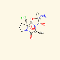 CCC(C)[C@H]1C(=O)N2CCC[C@H]2[C@]2(O)O[C@](N)(C(C)C)C(=O)N12.Cl